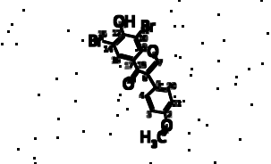 COc1ccc(-c2coc3c(Br)c(O)c(Br)cc3c2=O)cc1